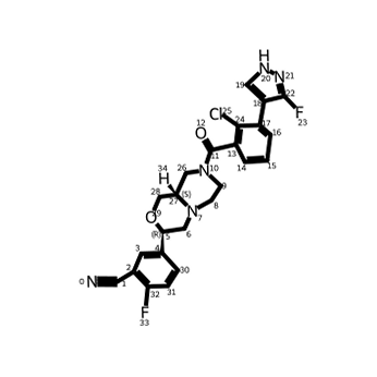 N#Cc1cc([C@@H]2CN3CCN(C(=O)c4cccc(-c5c[nH]nc5F)c4Cl)C[C@H]3CO2)ccc1F